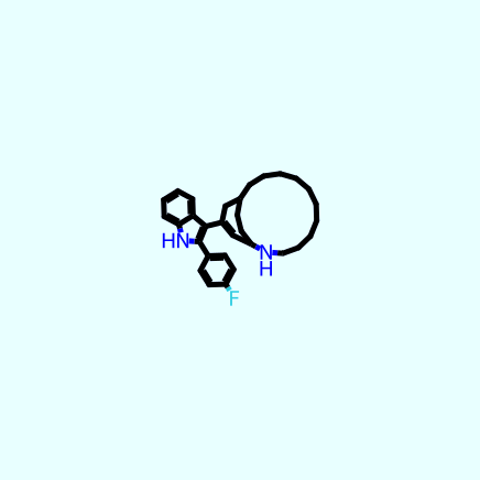 Fc1ccc(-c2[nH]c3ccccc3c2C2=CC3CCC(CCCCCCCCCCN3)C2)cc1